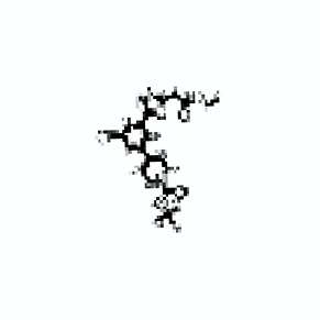 CCOC(=O)Cc1nnc(-c2cc(Cl)cc(C3=CCN(C(=O)OC(C)(C)C)CC3)c2)o1